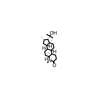 C[C@H]1C[C@H]2[C@@H]3CC[C@H]4N(C)C(=O)CC[C@]4(C)[C@H]3CC[C@]2(C)[C@H]1C(C)(C)O